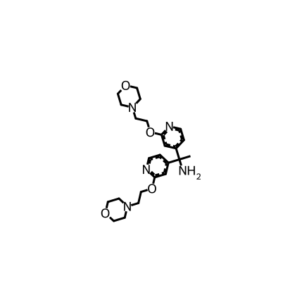 CC(N)(c1ccnc(OCCN2CCOCC2)c1)c1ccnc(OCCN2CCOCC2)c1